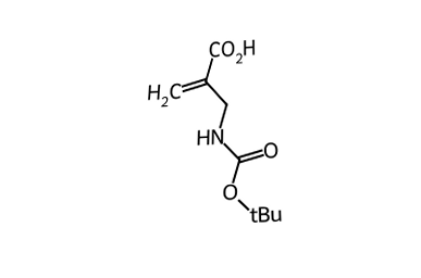 C=C(CNC(=O)OC(C)(C)C)C(=O)O